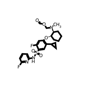 CN(COC=O)[C@H]1CCCC[C@@H]1Oc1cc(F)c(S(=O)(=O)Nc2cccc(F)n2)cc1C1CC1